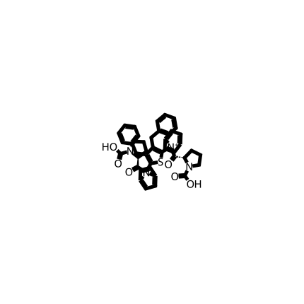 O=C(O)N1CCC[C@H]1C(=O)[N+]1(c2sc([N+]3(C(=O)[C@@H]4CCCN4C(=O)O)C4=CC=C3C=C4)c(Cc3ccccc3)c2Cc2ccccc2)C2=CC=C1C=C2